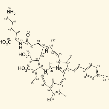 CCC1=C(C)/C2=C/c3c(/C=C/c4ccc(C(F)(F)F)cc4)c(C)c4n3Nn3/c(c(C)c(C(=O)O)/c3=C(\CC(=O)O)C3=N/C(=C\4)[C@@H](C)[C@@H]3CCC(=O)N[C@@H](CCCCN)C(=O)O)=C\C1=N2